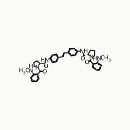 CNc1ccccc1C(=O)N1CCC[C@H]1C(=O)Nc1ccc(/C=C/c2ccc(NC(=O)[C@@H]3CCCN3C(=O)c3ccccc3NC)cc2)cc1